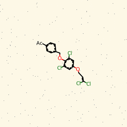 CC(=O)c1ccc(COc2c(Cl)cc(OCC=C(Cl)Cl)cc2Cl)cc1